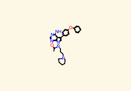 CC(=O)N(CCCN1CCCCC1)n1cc(-c2ccc(Oc3ccccc3)cc2)c2c(N)ncnc21